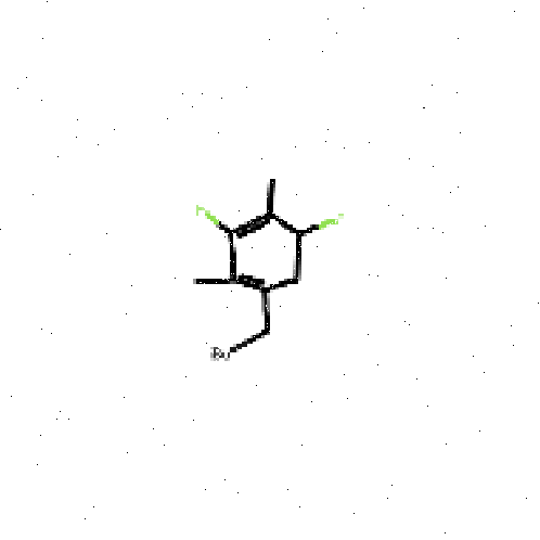 CCC(C)CC1=C(C)C(F)=C(C)C(F)C1